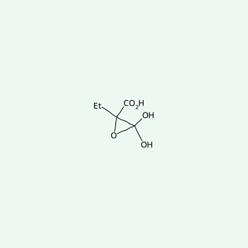 CCC1(C(=O)O)OC1(O)O